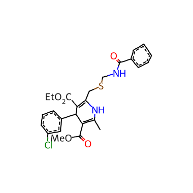 CCOC(=O)C1=C(CSCNC(=O)c2ccccc2)NC(C)=C(C(=O)OC)C1c1cccc(Cl)c1